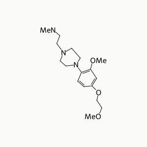 CNCCN1CCN(c2ccc(OCCOC)cc2OC)CC1